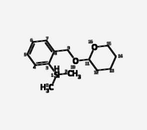 C[SiH](C)c1ccccc1COC1CCCCO1